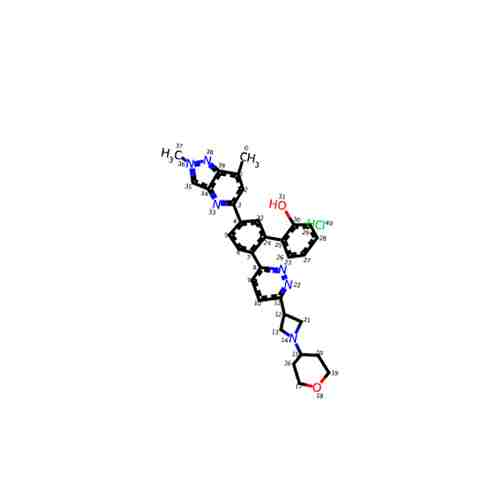 Cc1cc(-c2ccc(-c3ccc(C4CN(C5CCOCC5)C4)nn3)c(-c3ccccc3O)c2)nc2cn(C)nc12.Cl